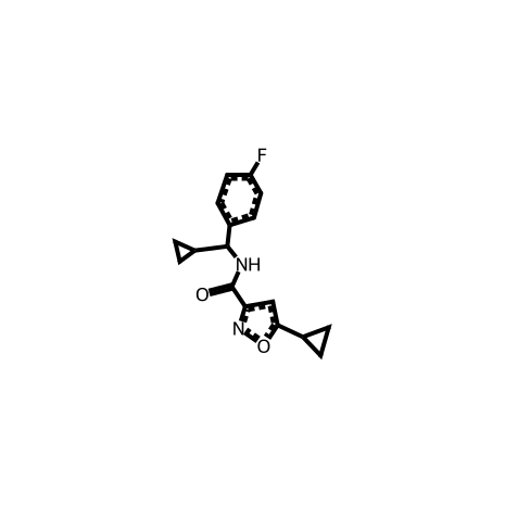 O=C(NC(c1ccc(F)cc1)C1CC1)c1cc(C2CC2)on1